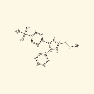 NS(=O)(=O)c1ccc(-c2oc(CCO)nc2-c2ccccc2)cc1